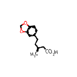 C=C(CCc1ccc2c(c1)OCO2)CC(=O)O